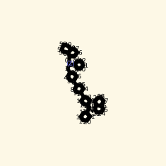 C(=C(\Cc1ccc(-c2ccc(-c3ccc(N(c4ccccc4)c4cccc5ccccc45)cc3)cc2)cc1)c1ccccc1)/c1cccc2ccccc12